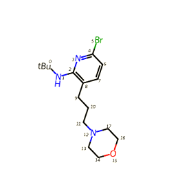 CC(C)(C)Nc1nc(Br)ccc1CCCN1CCOCC1